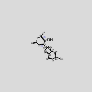 C=C/C=C(\C(O)=C(/C)I)n1nc2ccc(I)cc2n1